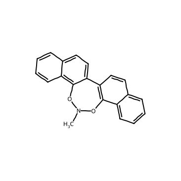 Cn1oc2c3ccccc3ccc2c2ccc3ccccc3c2o1